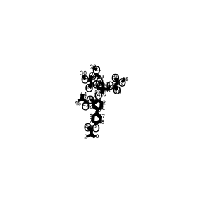 C=C(C)C(=O)Oc1ccc(-c2ccc(OCC(COCCOC)(COC(=O)C(=O)OC)COC(=O)C(=O)OC)c(OC(=O)C(=C)C)c2)cc1